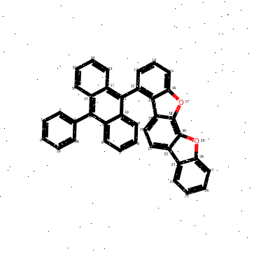 c1ccc(-c2c3ccccc3c(-c3cccc4oc5c(ccc6c7ccccc7oc65)c34)c3ccccc23)cc1